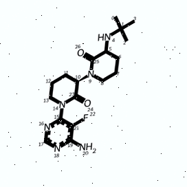 CC(C)(C)NC1CCCN([C@@H]2CCCN(c3ncnc(N)c3F)C2=O)C1=O